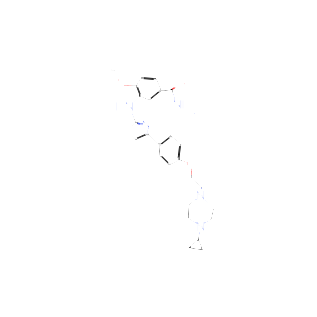 CC(C)Oc1ccc(C(N)=O)cc1Nc1nc(-c2ccc(OCCN3CCN(C4CC4)CC3)cc2)cs1